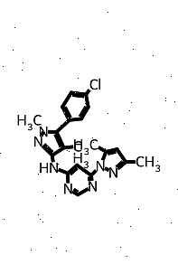 Cc1cc(C)n(-c2cc(Nc3nn(C)c(-c4ccc(Cl)cc4)c3C)ncn2)n1